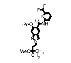 COC(C)(C)CCn1cc2cc(C(=O)Nc3cccc(C(F)F)n3)c(OC(C)C)cc2n1